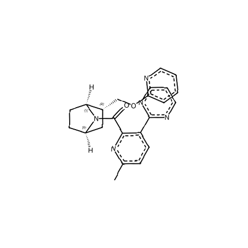 Cc1ccc(-c2ncccn2)c(C(=O)N2[C@@H]3CC[C@H]2[C@H](COc2ccccn2)C3)n1